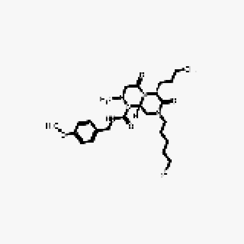 CCCCCCN1C[C@H]2N(C(=O)CN(C)N2C(=O)NCc2ccc(OC)cc2)[C@@H](CCCC)C1=O